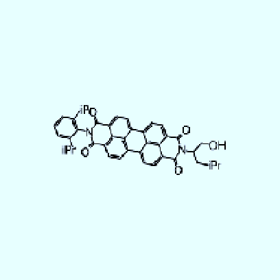 CC(C)CC(CO)N1C(=O)c2ccc3c4ccc5c6c(ccc(c7ccc(c2c37)C1=O)c64)C(=O)N(c1c(C(C)C)cccc1C(C)C)C5=O